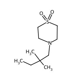 CCC(C)(C)CN1CCS(=O)(=O)CC1